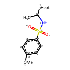 CCCCCCCC(C)NS(=O)(=O)c1ccc(OC)cc1